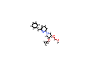 COCO[C@@H]1CN(c2cccc(Cc3ccccc3)n2)C[C@H]1OC1CC1